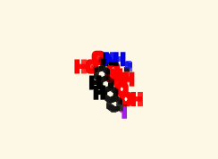 NC(=O)C1C(=O)[C@@]2(O)C(O)=C3C(=O)c4c(ccc(I)c4O)C[C@H]3C[C@H]2CC1O